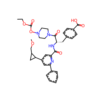 CCOC(=O)ON1CCN(C(=O)[C@H](Cc2ccc(C(=O)O)cc2)NC(=O)c2cc(C3CC3COC)cc(-c3ccccc3)n2)CC1